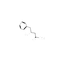 O=C(O)C[C@@H](Br)Cc1ccccc1